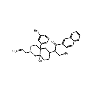 C=CCN1CCC2(c3cccc(O)c3)CC(N(CC(C)C)C(=O)c3ccc4ccccc4c3)CCC2(O)C1